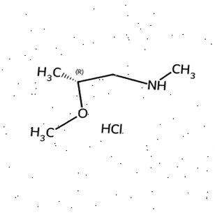 CNC[C@@H](C)OC.Cl